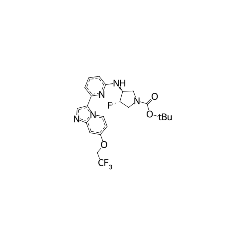 CC(C)(C)OC(=O)N1C[C@H](Nc2cccc(-c3cnc4cc(OCC(F)(F)F)ccn34)n2)[C@@H](F)C1